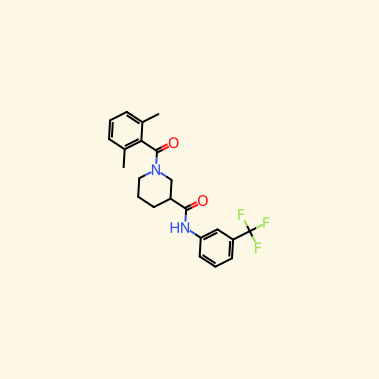 Cc1cccc(C)c1C(=O)N1CCCC(C(=O)Nc2cccc(C(F)(F)F)c2)C1